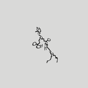 CCCCN(CCCC)CCCNC(=O)CCN(CCC(=O)O)CCN1CCN=C1C